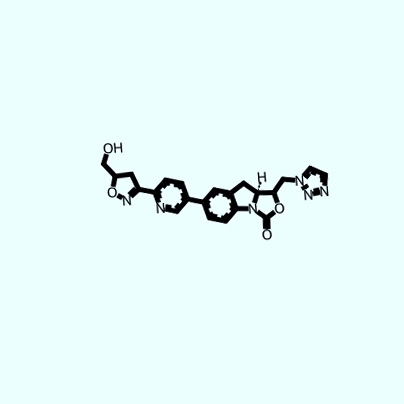 O=C1OC(Cn2ccnn2)[C@@H]2Cc3cc(-c4ccc(C5=NOC(CO)C5)nc4)ccc3N12